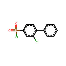 O=S(=O)(Cl)c1ccc(-c2ccccc2)c(Cl)c1